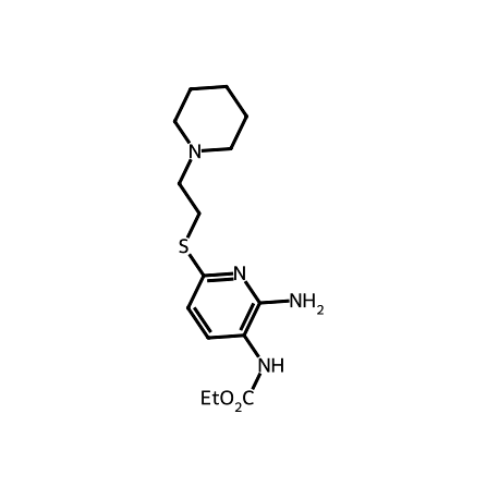 CCOC(=O)Nc1ccc(SCCN2CCCCC2)nc1N